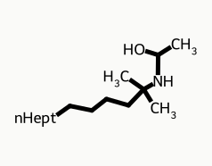 CCCCCCCCCCCC(C)(C)NC(C)O